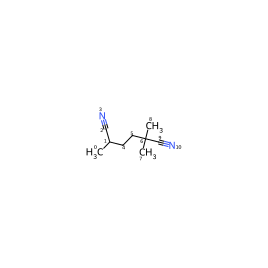 CC(C#N)CCC(C)(C)C#N